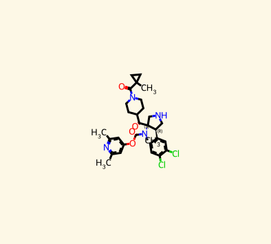 Cc1cc(OC(=O)N(C)[C@]2(C(=O)C3CCN(C(=O)C4(C)CC4)CC3)CNC[C@H]2c2ccc(Cl)c(Cl)c2)cc(C)n1